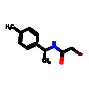 Cc1ccc([C@H](C)NC(=O)CBr)cc1